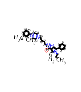 CCCN1C(c2ccccc2)=CC(C(=O)NCCCCN2CCN(c3cccc(C)c3C)CC2)C1C